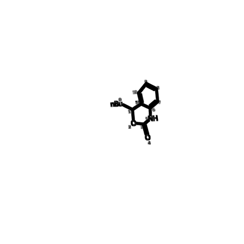 CCCCC1OC(=O)Nc2ccccc21